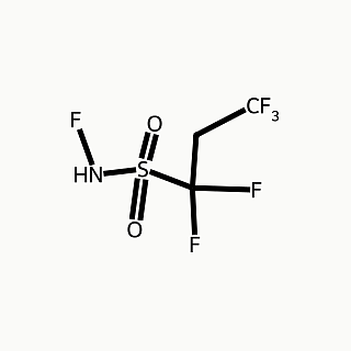 O=S(=O)(NF)C(F)(F)CC(F)(F)F